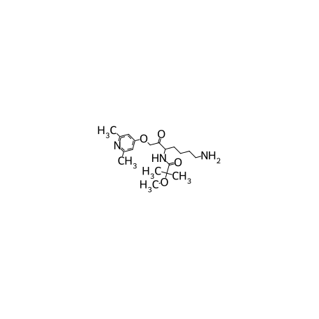 COC(C)(C)C(=O)NC(CCCCN)C(=O)COc1cc(C)nc(C)c1